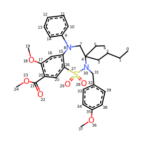 CCCCC1(CC)CN(c2ccccc2)c2cc(OC)c(C(=O)OC)cc2S(=O)(=O)N1Cc1ccc(OC)cc1